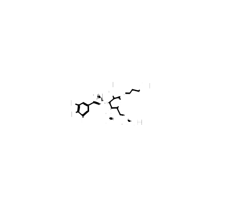 CCCCS[C@H]1OC(COC(C)=O)[C@H](OC(C)=O)[C@H](n2cc(-c3cc(F)c(F)c(F)c3)nn2)C1C